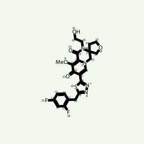 COc1c2n(cc(-c3nnc(Cc4ccc(F)cc4F)s3)c1=O)CC1(CCOC1)N(CCO)C2=O